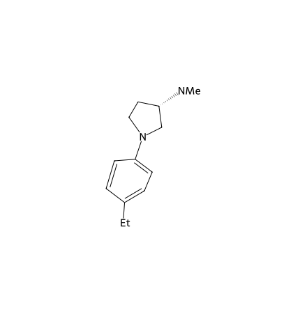 CCc1ccc(N2CC[C@H](NC)C2)cc1